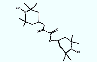 CC1(C)CC(OC(=O)C(=O)OC2CC(C)(C)N(O)C(C)(C)C2)CC(C)(C)N1O